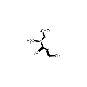 CN(C[C]=O)C(=O)/C=C/Cl